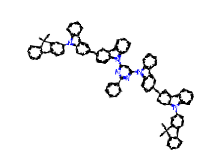 CC1(C)c2ccccc2-c2ccc(-n3c4ccccc4c4cc(-c5ccc6c(c5)c5ccccc5n6-c5cc(-n6c7ccccc7c7cc(-c8ccc9c(c8)c8ccccc8n9-c8ccc9c(c8)C(C)(C)c8ccccc8-9)ccc76)nc(-c6ccccc6)n5)ccc43)cc21